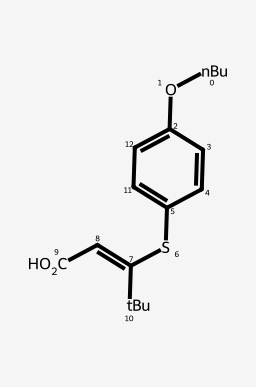 CCCCOc1ccc(SC(=CC(=O)O)C(C)(C)C)cc1